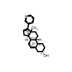 CC12CC[C@H]3[C@@H](CC=C4C[C@@H](O)CC[C@@]43C)[C@@H]1CC=C2c1cccnc1